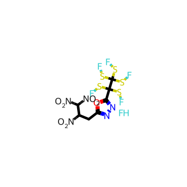 F.O=[N+]([O-])C(Cc1nnc(C(SF)(SF)C(SF)(SF)SF)o1)C([N+](=O)[O-])[N+](=O)[O-]